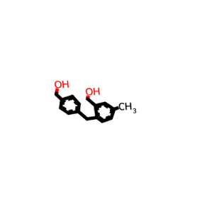 Cc1ccc(Cc2ccc(CO)cc2)c(CO)c1